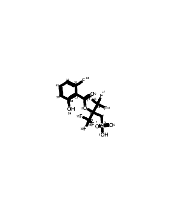 O=C(OC(CS(=O)(=O)O)(C(F)(F)F)C(F)(F)F)c1c(O)cccc1F